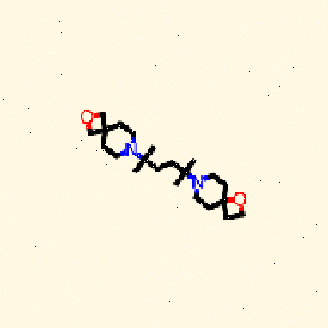 CC(C)(CCC(C)(C)N1CCC2(CCO2)CC1)N1CCC2(CC1)COC2